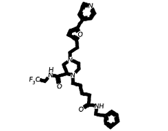 O=C(CCCCN1CCN(CCc2ccc(-c3ccncc3)o2)CC1C(=O)NCC(F)(F)F)NCc1ccccc1